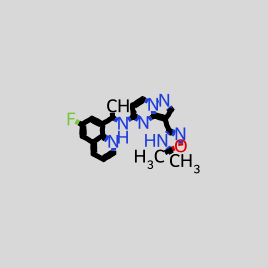 CC(Nc1ccn2ncc(C3=NOC(C)(C)N3)c2n1)c1cc(F)cc2cccnc12